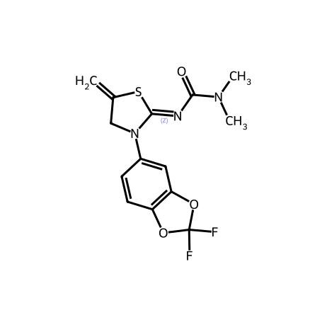 C=C1CN(c2ccc3c(c2)OC(F)(F)O3)/C(=N/C(=O)N(C)C)S1